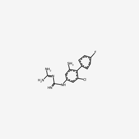 N=C(N=C(N)N)Nc1cc([SiH3])c(-c2ccc(F)cc2)c(Cl)c1